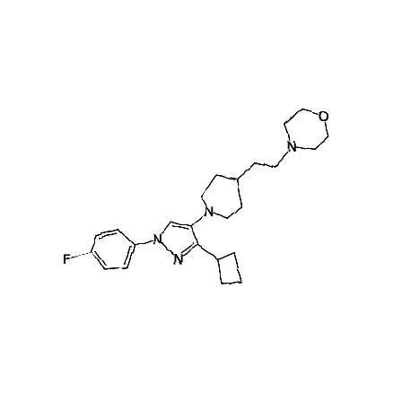 Fc1ccc(-n2cc(N3CCC(CCN4CCOCC4)CC3)c(C3CCC3)n2)cc1